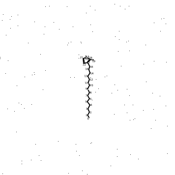 CCCCCCCCCCCCCCCCCC1=C(C)[N]C=C1